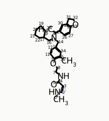 CN/C=C\C(=O)NCCOc1ccc(CN(CC2CCCCC2)C(C)c2ccc3c(c2)CCO3)cc1C